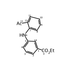 CCOC(=O)c1cccc(Nc2ccccc2C(C)=O)c1